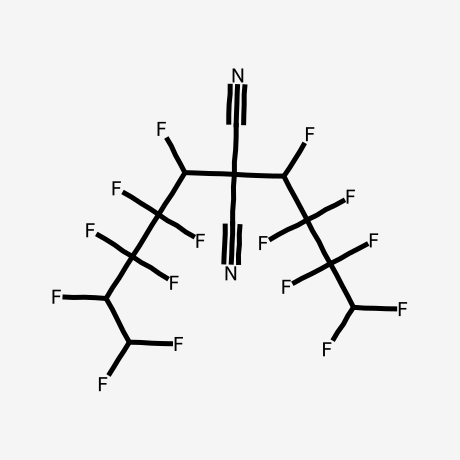 N#CC(C#N)(C(F)C(F)(F)C(F)(F)C(F)F)C(F)C(F)(F)C(F)(F)C(F)C(F)F